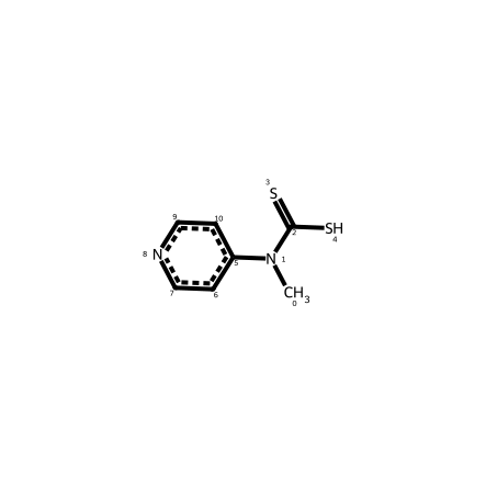 CN(C(=S)S)c1ccncc1